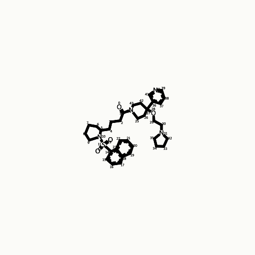 O=C(CCCC1CCCCN1S(=O)(=O)c1cccc2ccccc12)N1CCC(OCCN2CCCC2)(c2cccnc2)CC1